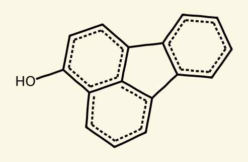 Oc1ccc2c3c(cccc13)-c1ccccc1-2